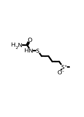 C[S+]([O-])CCCCSNC(N)=O